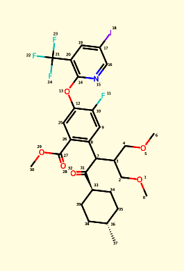 COCC(COC)C(c1cc(F)c(Oc2ncc(I)cc2C(F)(F)F)cc1C(=O)OC)C(=O)[C@H]1CC[C@H](C)CC1